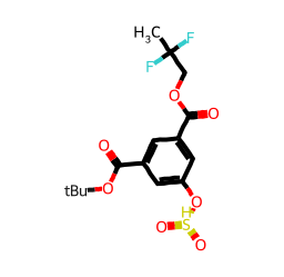 CC(F)(F)COC(=O)c1cc(O[SH](=O)=O)cc(C(=O)OC(C)(C)C)c1